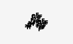 O=C(C(F)(F)F)C(F)(F)F.O=C(C(F)(F)F)C(F)(F)F.[2H]O[2H]